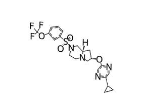 O=S(=O)(c1cccc(OC(F)(F)F)c1)N1CCN2C[C@H](Oc3cnc(C4CC4)cn3)C[C@H]2C1